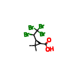 CC1(C)C(C(=O)O)[C@@H]1[C@@H](Br)C(Br)(Br)Br